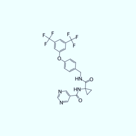 O=C(NC1(C(=O)NCc2ccc(Oc3cc(C(F)(F)F)cc(C(F)(F)F)c3)cc2)CC1)c1cncnc1